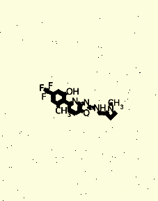 Cc1cc(C(F)(F)F)cc(O)c1-c1ccc2oc(NCC3CCN3C)nc2n1